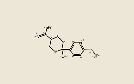 C[CH]CC(=N)C1CCC(O)(c2ccc(NC(C)C)nc2)CC1